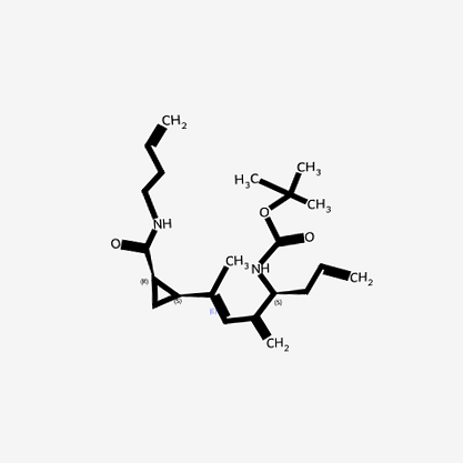 C=CCCNC(=O)[C@@H]1C[C@@H]1/C(C)=C/C(=C)[C@H](CC=C)NC(=O)OC(C)(C)C